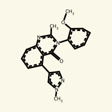 COc1ccccc1-n1c(C)nc2cccc(-c3cnn(C)c3)c2c1=O